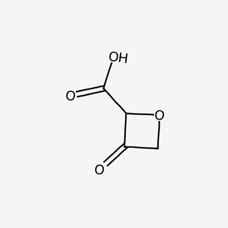 O=C(O)C1OCC1=O